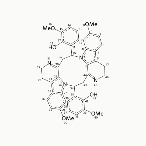 COc1ccc2c3c4n(c2c1)C(c1cccc(OC)c1O)CC1=NCCc2c1n(c1cc(OC)ccc21)C(c1cccc(OC)c1O)CC4=NCC3